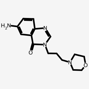 Nc1ccc2ncn(CCCN3CCOCC3)c(=O)c2c1